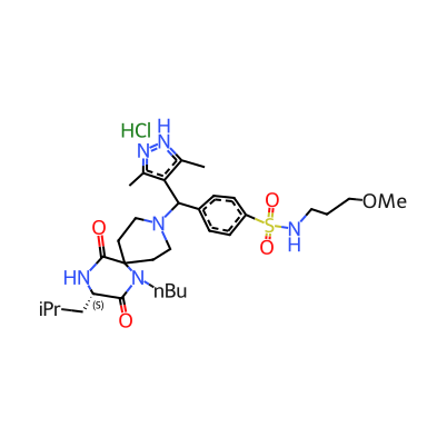 CCCCN1C(=O)[C@H](CC(C)C)NC(=O)C12CCN(C(c1ccc(S(=O)(=O)NCCCOC)cc1)c1c(C)n[nH]c1C)CC2.Cl